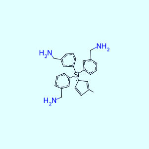 CC1=C[C]([Si](c2cccc(CN)c2)(c2cccc(CN)c2)c2cccc(CN)c2)C=C1